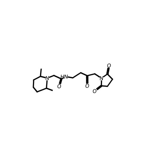 CC1CCCC(C)N1CC(=O)NCCC(=O)CN1C(=O)CCC1=O